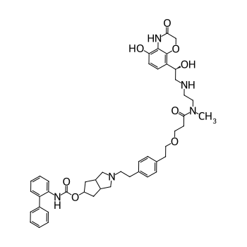 CN(CCNC[C@H](O)c1ccc(O)c2c1OCC(=O)N2)C(=O)CCOCCc1ccc(CCN2CC3CC(OC(=O)Nc4ccccc4-c4ccccc4)CC3C2)cc1